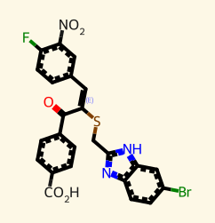 O=C(O)c1ccc(C(=O)/C(=C\c2ccc(F)c([N+](=O)[O-])c2)SCc2nc3ccc(Br)cc3[nH]2)cc1